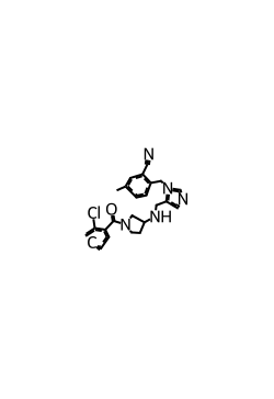 Cc1ccc(Cn2cncc2CNC2CCN(C(=O)c3ccccc3Cl)C2)c(C#N)c1